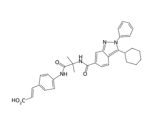 CC(C)(NC(=O)c1ccc2c(C3CCCCC3)n(-c3ccccc3)nc2c1)C(=O)Nc1ccc(/C=C/C(=O)O)cc1